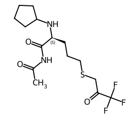 CC(=O)NC(=O)[C@H](CCCSCC(=O)C(F)(F)F)NC1CCCC1